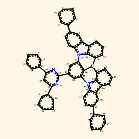 c1ccc(-c2ccc3c(c2)c2cccc4c2n3-c2cc(-c3nc(-c5ccccc5)cc(-c5ccccc5)n3)cc3c2B4c2cccc4c5cc(-c6ccccc6)ccc5n-3c24)cc1